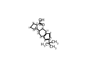 CC(C)(C)c1ccc2c(c1)CCC(N1CCC[C@H]1C(=O)O)CC2